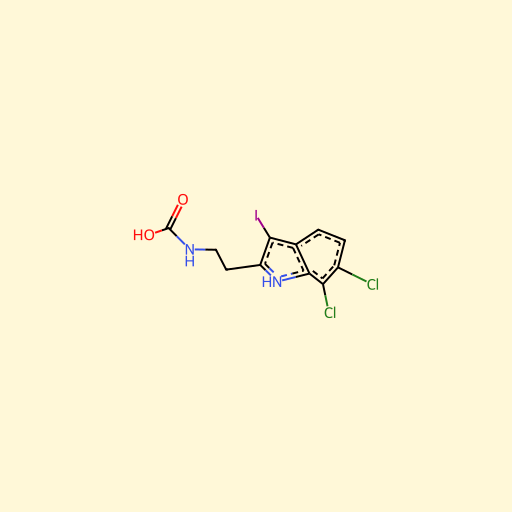 O=C(O)NCCc1[nH]c2c(Cl)c(Cl)ccc2c1I